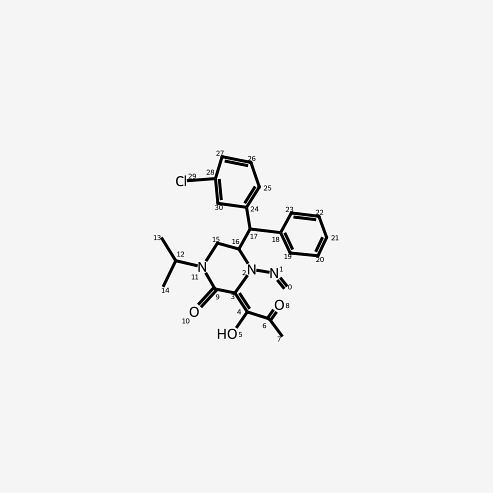 C=NN1/C(=C(/O)C(C)=O)C(=O)N(C(C)C)CC1C(c1ccccc1)c1cccc(Cl)c1